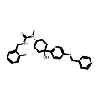 CN(C(=O)NCc1ccccc1F)[C@H]1CC[C@@](O)(c2ccc(OCc3ccccc3)cn2)CC1